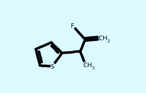 C=C(F)C(C)c1cccs1